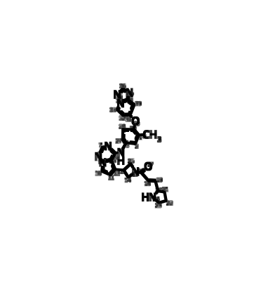 Cc1cc(Nc2ncnn3ccc(C4CN(C(=O)/C=C/C5CCCN5)C4)c23)ccc1Oc1ccn2ncnc2c1